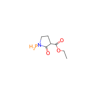 CCOC(=O)C1CCN(P)C1=O